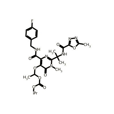 Cc1nnc(C(=O)NC(C)(C)c2nc(C(=O)NCc3ccc(F)cc3)c(OC(C)OC(=O)OC(C)C)c(=O)n2C)o1